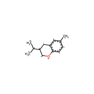 Cc1ccc2c(c1)CC(C(C)C)CO2